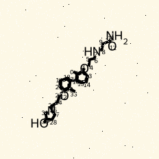 Cc1c(OCCCNCCC(N)=O)cccc1-c1cccc(OCCCN2CCC(O)C2)c1C